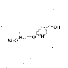 CON(C)CCOc1ccc(CO)cn1